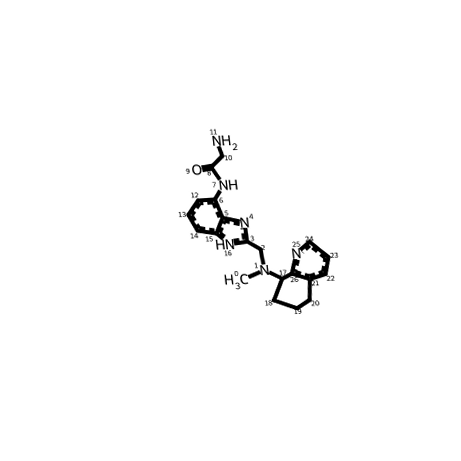 CN(Cc1nc2c(NC(=O)CN)cccc2[nH]1)C1CCCc2cccnc21